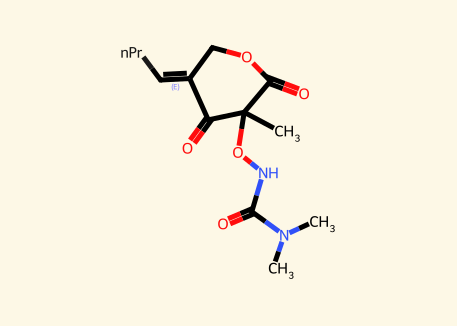 CCC/C=C1\COC(=O)C(C)(ONC(=O)N(C)C)C1=O